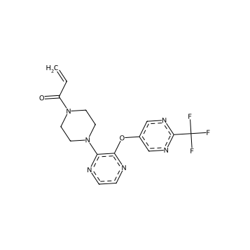 C=CC(=O)N1CCN(c2nccnc2Oc2cnc(C(F)(F)F)nc2)CC1